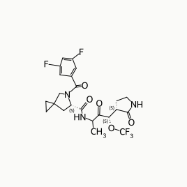 CC(NC(=O)[C@@H]1CC2(CC2)CN1C(=O)c1cc(F)cc(F)c1)C(=O)[C@@H](OC(F)(F)F)[C@@H]1CCNC1=O